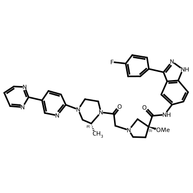 CO[C@@]1(C(=O)Nc2ccc3[nH]nc(-c4ccc(F)cc4)c3c2)CCN(CC(=O)N2CCN(c3ccc(-c4ncccn4)cn3)C[C@H]2C)C1